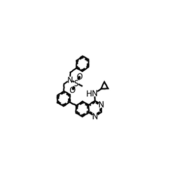 CS(=O)(=O)N(Cc1ccccc1)Cc1cccc(-c2ccc3ncnc(NC4CC4)c3c2)c1